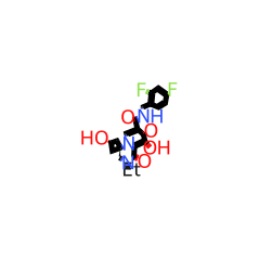 CCN1C[C@]2(C[C@H](O)C2)n2cc(C(=O)NCc3ccc(F)cc3F)c(=O)c(O)c2C1=O